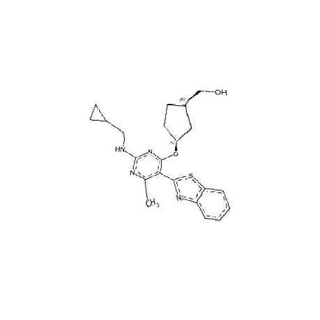 Cc1nc(NCC2CC2)nc(O[C@H]2CC[C@@H](CO)C2)c1-c1nc2ccccc2s1